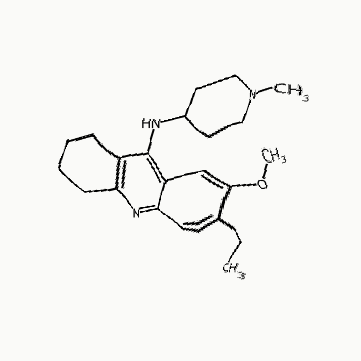 CCc1cc2nc3c(c(NC4CCN(C)CC4)c2cc1OC)CCCC3